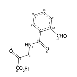 CCOC(=O)C(=O)CNC(=O)c1ccccc1C=O